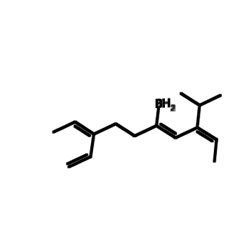 B/C(=C\C(=C/C)C(C)C)CC/C(C=C)=C/C